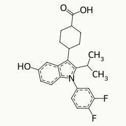 CC(C)c1c(C2CCC(C(=O)O)CC2)c2cc(O)ccc2n1-c1ccc(F)c(F)c1